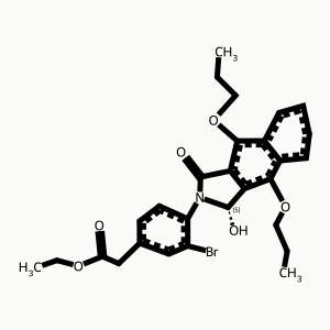 CCCOc1c2c(c(OCCC)c3ccccc13)[C@H](O)N(c1ccc(CC(=O)OCC)cc1Br)C2=O